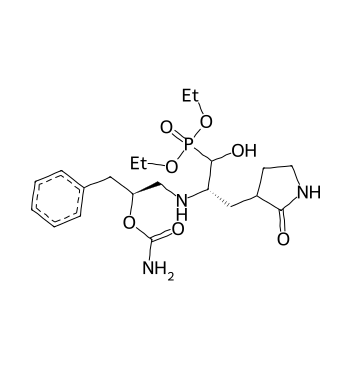 CCOP(=O)(OCC)C(O)[C@H](CC1CCNC1=O)NC[C@H](Cc1ccccc1)OC(N)=O